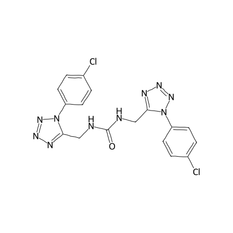 O=C(NCc1nnnn1-c1ccc(Cl)cc1)NCc1nnnn1-c1ccc(Cl)cc1